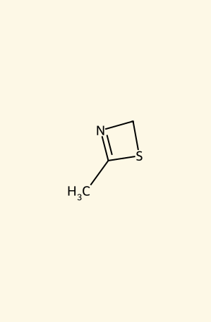 CC1=NCS1